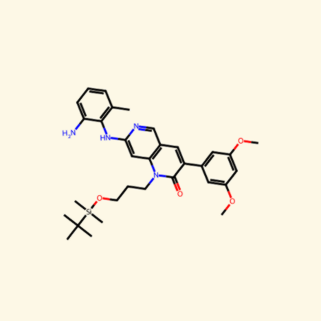 COc1cc(OC)cc(-c2cc3cnc(Nc4c(C)cccc4N)cc3n(CCCO[Si](C)(C)C(C)(C)C)c2=O)c1